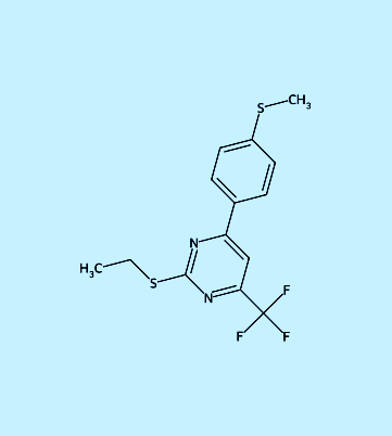 CCSc1nc(-c2ccc(SC)cc2)cc(C(F)(F)F)n1